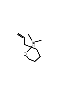 C=CCC1([SiH](C)C)CCCCO1